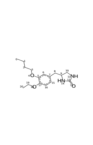 CCCCOc1cc(CC2CNC(=O)N2)ccc1OCC